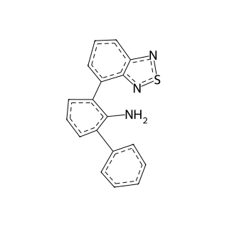 Nc1c(-c2ccccc2)cccc1-c1cccc2nsnc12